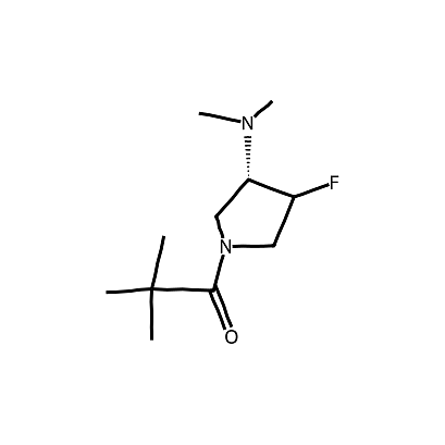 CN(C)[C@H]1CN(C(=O)C(C)(C)C)CC1F